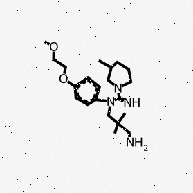 COCCOc1ccc(N(CC(C)(C)CN)C(=N)N2CCCC(C)C2)cc1